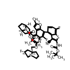 Cc1cc2c(o1)c(-c1ccc(F)c3sc(NC(=O)OC(C)(C)C)c(C#N)c13)c(F)c1nc(OC[C@@]34CCCN3C[C@H](F)C4)nc(N3C[C@H]4CC[C@@H](C3)N4C(=O)OC(C)(C)C)c12